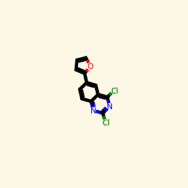 Clc1nc(Cl)c2cc(-c3ccco3)ccc2n1